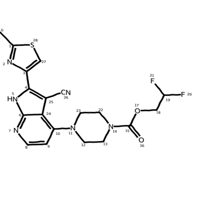 Cc1nc(-c2[nH]c3nccc(N4CCN(C(=O)OCC(F)F)CC4)c3c2C#N)cs1